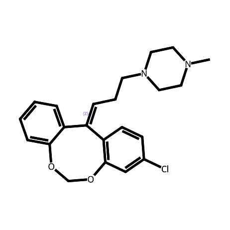 CN1CCN(CC/C=C2/c3ccccc3OCOc3cc(Cl)ccc32)CC1